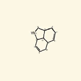 C1=CC2NCC3CC=CC(C1)C32